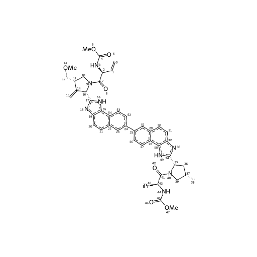 C=C[C@H](NC(=O)OC)C(=O)N1C[C@@H](COC)C(=C)[C@H]1c1nc2ccc3cc(-c4ccc5c(ccc6nc([C@@H]7C[C@H](C)CN7C(=O)[C@@H](NC(=O)OC)C(C)C)[nH]c65)c4)ccc3c2[nH]1